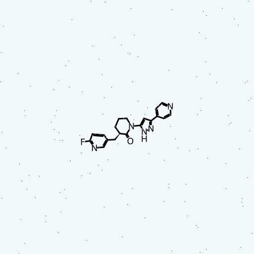 O=C1[C@@H](Cc2ccc(F)nc2)CCCN1c1cc(-c2ccncc2)n[nH]1